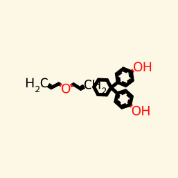 C=CCOCC=C.Oc1ccc(C2(c3ccc(O)cc3)CCCCC2)cc1